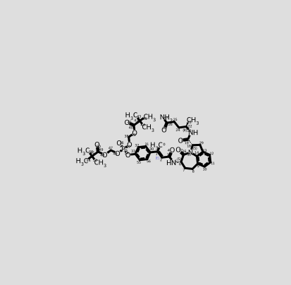 C/C(=C\C(=O)N[C@H]1CCc2cccc3c2N(C1=O)[C@H](C(=O)N[C@H](C)CCC(N)=O)C3)c1ccc(OP(=O)(OCOC(=O)C(C)(C)C)OCOC(=O)C(C)(C)C)cc1